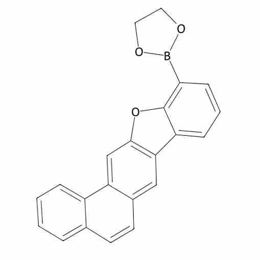 c1ccc2c(c1)ccc1cc3c(cc12)oc1c(B2OCCO2)cccc13